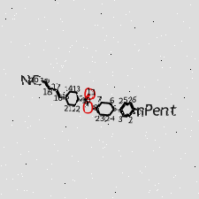 CCCCCc1ccc([C@H]2CC[C@H](OC(=O)[C@H]3CC[C@H](C=CC=CC#N)CC3)CC2)cc1